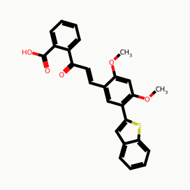 COc1cc(OC)c(-c2cc3ccccc3s2)cc1/C=C/C(=O)c1ccccc1C(=O)O